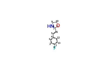 Fc1ccc(C=CC2NCCO2)cc1